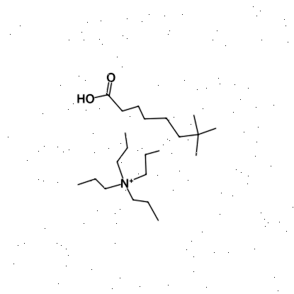 CC(C)(C)CCCCCC(=O)O.CCC[N+](CCC)(CCC)CCC